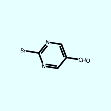 O=Cc1cnc(Br)nc1